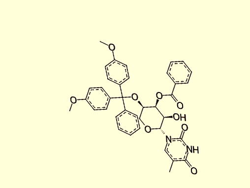 COc1ccc(C(O[C@@H]2CO[C@@H](n3cc(C)c(=O)[nH]c3=O)[C@H](O)[C@@H]2OC(=O)c2ccccc2)(c2ccccc2)c2ccc(OC)cc2)cc1